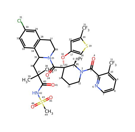 CCC[C@H]1N(C(=O)c2ncccc2C(F)(F)F)CCC[C@@]1(Oc1csc(C(F)(F)F)c1)C(=O)N1CCc2cc(Cl)ccc2C1CC(C)(C)C(=O)NS(C)(=O)=O